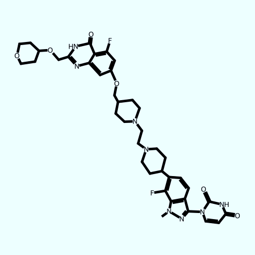 Cn1nc(-n2ccc(=O)[nH]c2=O)c2ccc(C3CCN(CCN4CCC(COc5cc(F)c6c(=O)[nH]c(COC7CCOCC7)nc6c5)CC4)CC3)c(F)c21